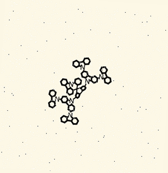 c1ccc2c(c1)-n1c3ccccc3c3cccc(c31)C21c2cc(-n3c4ccc(-n5c6ccccc6c6ccccc65)cc4c4cc(-n5c6ccccc6c6ccccc65)ccc43)ccc2-c2ccc(-n3c4ccc(-n5c6ccccc6c6ccccc65)cc4c4cc(-n5c6ccccc6c6ccccc65)ccc43)cc21